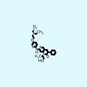 CCN(CC)CCOc1ccc(Nc2cc3c(cn2)cc(-c2ccccc2)c(=O)n3C(C)CO)nc1